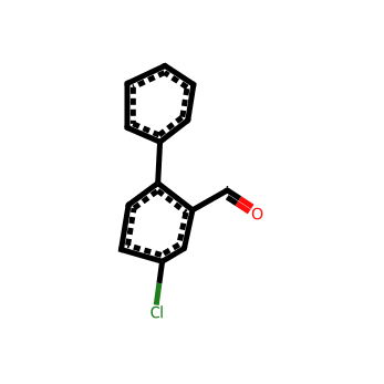 O=[C]c1cc(Cl)ccc1-c1ccccc1